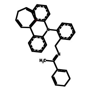 C/C(=N\Cc1ccccc1N(c1ccccc1)c1ccccc1C1=CC=CCC=C1)C1=CCCC=C1